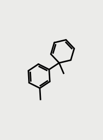 Cc1cccc(C2(C)C=CC=CC2)c1